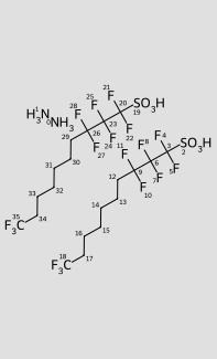 N.N.O=S(=O)(O)C(F)(F)C(F)(F)C(F)(F)CCCCCCC(F)(F)F.O=S(=O)(O)C(F)(F)C(F)(F)C(F)(F)CCCCCCC(F)(F)F